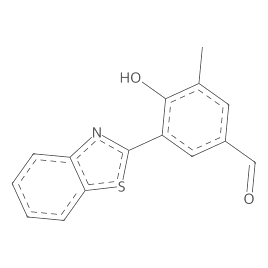 Cc1cc(C=O)cc(-c2nc3ccccc3s2)c1O